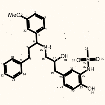 COc1cccc(C(CCc2ccccc2)NCC(O)Cc2ccc(O)c(NS(C)(=O)=O)c2)c1